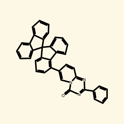 O=c1nc(-c2ccccc2)nc2ccc(-c3cccc4c3-c3ccccc3C43c4ccccc4-c4ccccc43)cn12